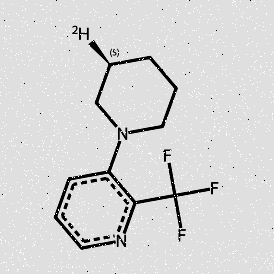 [2H][C@H]1CCCN(c2cccnc2C(F)(F)F)C1